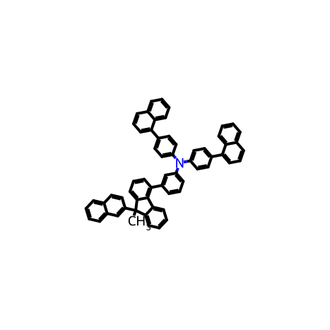 CC1(c2ccc3ccccc3c2)c2ccccc2-c2c(-c3cccc(N(c4ccc(-c5cccc6ccccc56)cc4)c4ccc(-c5cccc6ccccc56)cc4)c3)cccc21